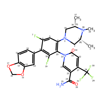 C[C@@H]1CN(c2cc(F)c(-c3ccc4c(c3)OCO4)c(F)c2-n2cc(C(N)=O)c(C(F)(F)F)cc2=O)C[C@H](C)N1C